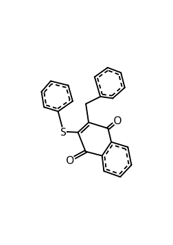 O=C1C(Cc2ccccc2)=C(Sc2ccccc2)C(=O)c2ccccc21